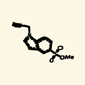 C#CCn1ccc2cc(S(=O)(=O)OC)ccc21